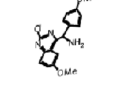 COc1ccc(C(N)c2nc(Cl)nc3ccc(OC)cc23)cc1